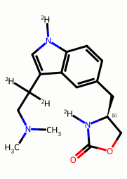 [2H]N1C(=O)OC[C@@H]1Cc1ccc2c(c1)c(C([2H])([2H])CN(C)C)cn2[2H]